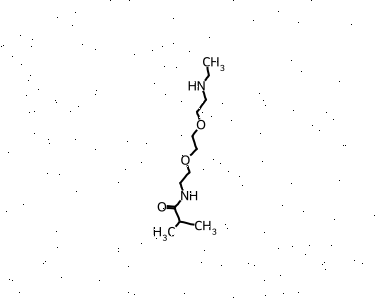 CCNCCOCCOCCNC(=O)C(C)C